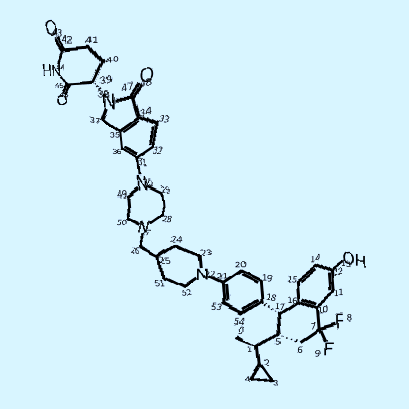 C[C@H](C1CC1)[C@H]1CC(F)(F)c2cc(O)ccc2[C@H]1c1ccc(N2CCC(CN3CCN(c4ccc5c(c4)CN([C@H]4CCC(=O)NC4=O)C5=O)CC3)CC2)cc1